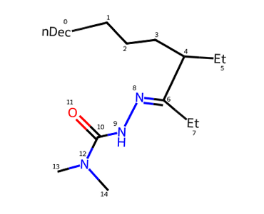 CCCCCCCCCCCCCC(CC)C(CC)=NNC(=O)N(C)C